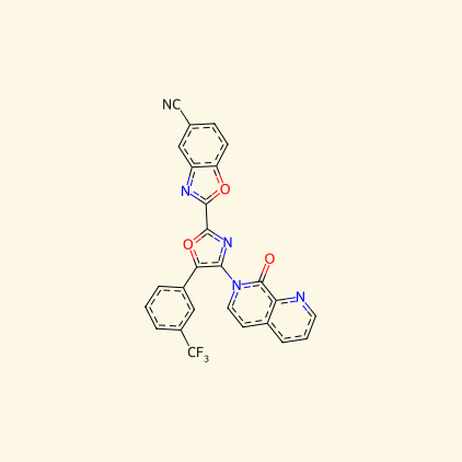 N#Cc1ccc2oc(-c3nc(-n4ccc5cccnc5c4=O)c(-c4cccc(C(F)(F)F)c4)o3)nc2c1